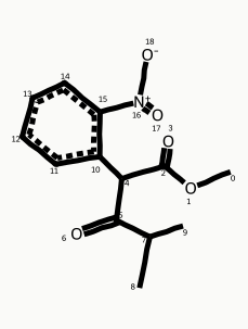 COC(=O)C(C(=O)C(C)C)c1ccccc1[N+](=O)[O-]